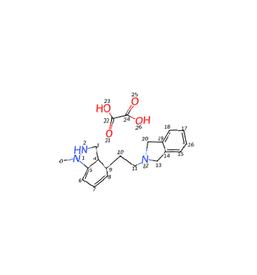 CN1NCC2C1=CC=CC2CCN1Cc2ccccc2C1.O=C(O)C(=O)O